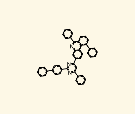 c1ccc(-c2ccc(-c3nc(-c4ccccc4)cc(-c4ccc5c(c4)nc(-c4ccccc4)c4cccc(-c6ccccc6)c45)n3)cc2)cc1